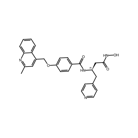 Cc1cc(COc2ccc(C(=O)N[C@@H](CC(=O)NO)Cc3ccncc3)cc2)c2ccccc2n1